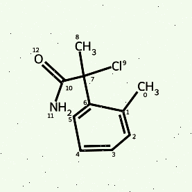 Cc1ccccc1C(C)(Cl)C(N)=O